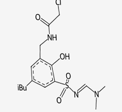 CCC(C)c1cc(CNC(=O)CCl)c(O)c(S(=O)(=O)N=CN(C)C)c1